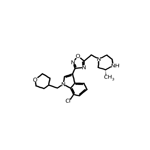 C[C@@H]1CN(Cc2nc(-c3cn(CC4CCOCC4)c4c(Cl)cccc34)no2)CCN1